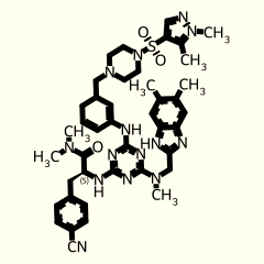 Cc1cc2nc(CN(C)c3nc(NC4=CC(CN5CCN(S(=O)(=O)c6cnn(C)c6C)CC5)CC=C4)nc(N[C@@H](Cc4ccc(C#N)cc4)C(=O)N(C)C)n3)[nH]c2cc1C